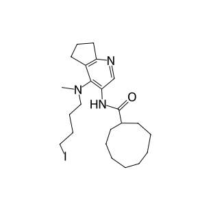 CN(CCCCI)c1c(NC(=O)C2CCCCCCCC2)cnc2c1CCC2